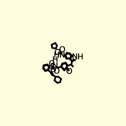 COc1cc(C(=O)NS(=O)(=O)c2ccccc2C#CC2CCCCC2)ccc1C(C)c1c[nH]c2ccc(NC(=O)OC3CCCC3)cc12